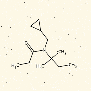 CCC(=O)N(CC1CC1)C(C)(C)CC